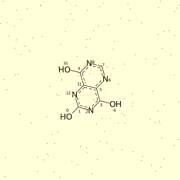 Oc1nc(O)c2ncnc(O)c2n1